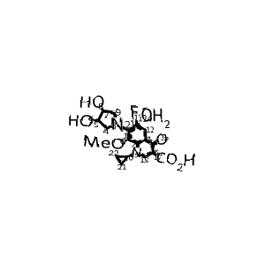 COc1c(N2CC(O)C(O)C2)c(F)cc2c(=O)c(C(=O)O)cn(C3CC3)c12.O